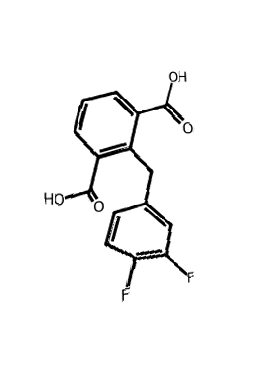 O=C(O)c1cccc(C(=O)O)c1Cc1ccc(F)c(F)c1